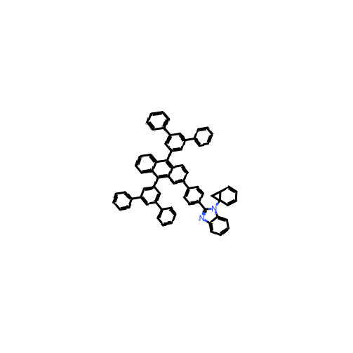 C1=CC2CC2(n2c(-c3ccc(-c4ccc5c(-c6cc(-c7ccccc7)cc(-c7ccccc7)c6)c6ccccc6c(-c6cc(-c7ccccc7)cc(-c7ccccc7)c6)c5c4)cc3)nc3ccccc32)C=C1